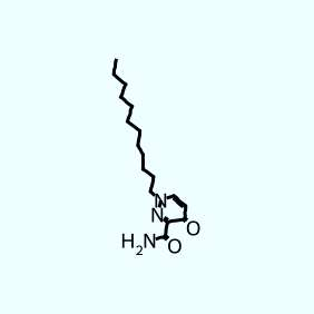 CCCCCCCCCCCCn1ccc(=O)c(C(N)=O)n1